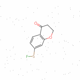 O=C1CCOc2cc(SF)ccc21